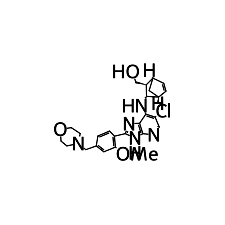 COc1cc(CN2CCOCC2)ccc1-c1nc2c(N[C@H]3[C@@H](CO)[C@@H]4C=C[C@H]3C4)c(Cl)cnc2[nH]1